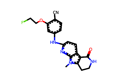 Cn1c2c(c3ccc(Nc4ccc(C#N)c(OCCF)c4)nc31)C(=O)NCC2